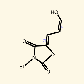 CCN1C(=O)S/C(=C\C=C/O)C1=O